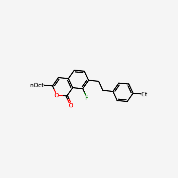 CCCCCCCCc1cc2ccc(CCc3ccc(CC)cc3)c(F)c2c(=O)o1